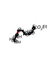 CCOC(=O)c1cc(CNC(=O)c2ccc(OCCN(C)C(=O)CCC(C)(C)CCC(=O)N(C)CCc3ccc(NC(=O)CNC(=O)OC(C)(C)C)cc3)cc2)ccc1F